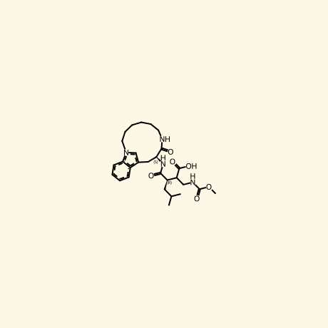 COC(=O)NCC(C(=O)O)[C@@H](CC(C)C)C(=O)N[C@H]1Cc2cn(c3ccccc23)CCCCCCNC1=O